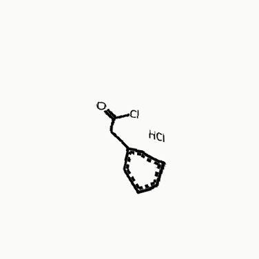 Cl.O=C(Cl)Cc1ccccc1